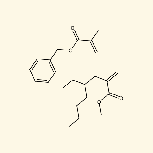 C=C(C)C(=O)OCc1ccccc1.C=C(CC(CC)CCCC)C(=O)OC